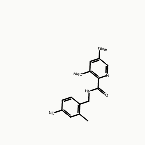 COc1cnc(C(=O)NCc2ccc(C#N)cc2C)c(OC)c1